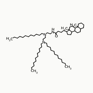 CCCCCCCCCCCCN(CCCCCCCCCCCC)CCN(CCCCCCCCCCCC)CCNC(=O)CCCC1CCC2C3CCC4CCCCC4(C)C3CCC12C